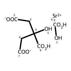 O=C(O)O.O=C([O-])CC(O)(CC(=O)[O-])C(=O)O.[Sr+2]